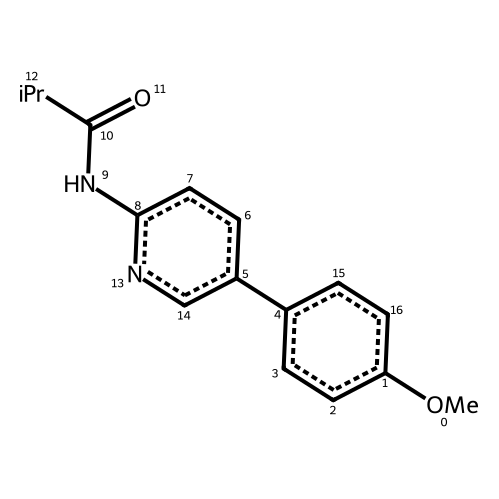 COc1ccc(-c2ccc(NC(=O)C(C)C)nc2)cc1